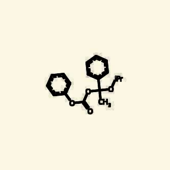 CC(C)OC(C)(OC(=O)Oc1ccccc1)c1ccccc1